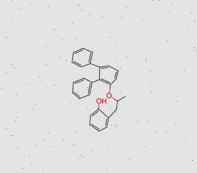 CC(Cc1ccccc1O)Oc1cccc(-c2ccccc2)c1-c1ccccc1